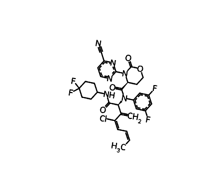 C=C(/C(Cl)=C\C=C/C)[C@@H](C(=O)NC1CCC(F)(F)CC1)N(C(=O)[C@@H]1CCOC(=O)N1c1nccc(C#N)n1)c1cc(F)cc(F)c1